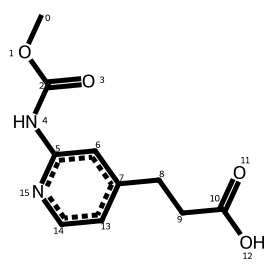 COC(=O)Nc1cc(CCC(=O)O)ccn1